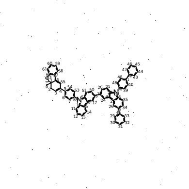 CC12CC=C(c3ccc(-n4c5ccccc5c5cc(-c6ccc7c(c6)c6cc(-c8ccccc8)ccc6n7-c6ccc(-c7ccccc7)cc6)ccc54)cc3)C=C1c1ccccc1S2